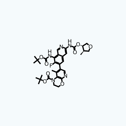 Cc1c(-c2cc3cc(NC(=O)O[C@@H]4COC[C@H]4C)ncc3c(NC(=O)OC(C)(C)C)c2F)cnc2c1N(C(=O)OC(C)(C)C)CCO2